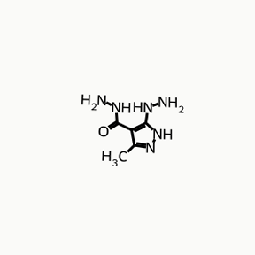 Cc1n[nH]c(NN)c1C(=O)NN